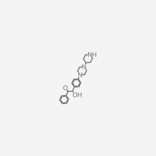 O=C(c1ccccc1)C(O)c1ccc(N2CCN(C3CCNCC3)CC2)cc1